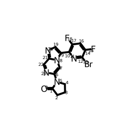 O=C1CCCN1c1cn2c(-c3nc(Br)c(F)cc3F)cnc2cn1